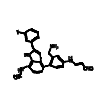 NCc1cc(NC=CC=O)ccc1-c1ccc(NC=O)c2[nH]c(-c3cccc(F)c3)cc12